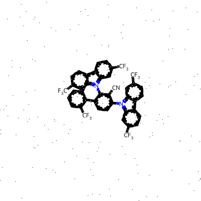 N#Cc1cccc(C(F)(F)F)c1-c1ccc(-n2c3cc(C(F)(F)F)ccc3c3ccc(C(F)(F)F)cc32)c(C#N)c1-n1c2cc(C(F)(F)F)ccc2c2ccc(C(F)(F)F)cc21